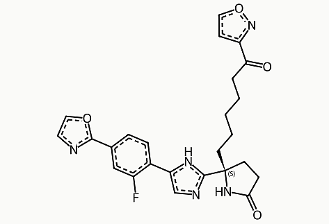 O=C1CC[C@@](CCCCCC(=O)c2ccon2)(c2ncc(-c3ccc(-c4ncco4)cc3F)[nH]2)N1